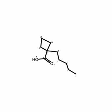 CCCCCC1(C(=O)O)CCC1